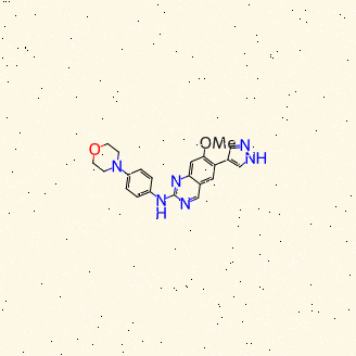 COc1cc2nc(Nc3ccc(N4CCOCC4)cc3)ncc2cc1-c1cn[nH]c1